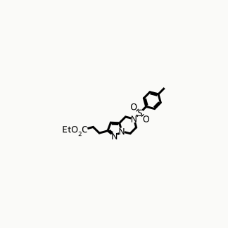 CCOC(=O)CCc1cc2n(n1)CCN(S(=O)(=O)c1ccc(C)cc1)C2